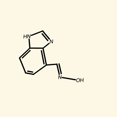 ON=Cc1cccc2[nH]cnc12